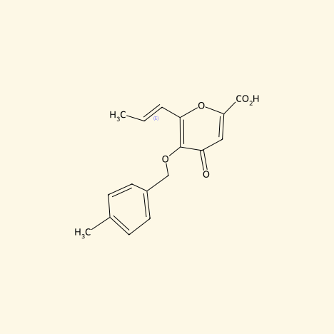 C/C=C/c1oc(C(=O)O)cc(=O)c1OCc1ccc(C)cc1